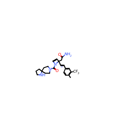 Cc1ccc(/C=C/C2(CC(N)=O)C=CN2C(=O)N2CCC3(CCCN3)CC2)cc1C(F)(F)F